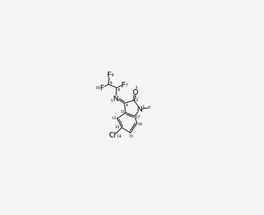 CN1C(=O)C(=NC(F)C(F)F)c2cc(Cl)ccc21